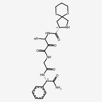 CCCC(NC(=O)[C@@H]1CC2(CN1)SCCCS2)C(=O)C(=O)NCC(=O)N[C@H](C(N)=O)c1ccccc1